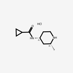 C[C@@H]1C[C@H](NC(=O)C2CC2)CCN1.Cl